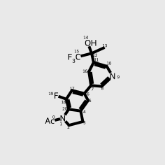 CC(=O)N1CCc2cc(-c3cncc(C(C)(O)C(F)(F)F)c3)cc(F)c21